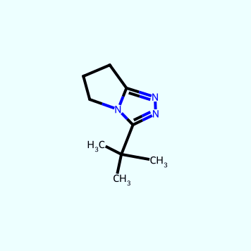 CC(C)(C)c1nnc2n1CCC2